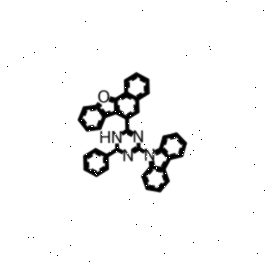 c1ccc(C2N=C(n3c4ccccc4c4ccccc43)N=C(c3cc4ccccc4c4oc5ccccc5c34)N2)cc1